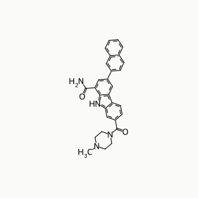 CN1CCN(C(=O)c2ccc3c(c2)[nH]c2c(C(N)=O)cc(-c4ccc5ccccc5c4)cc23)CC1